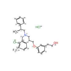 C[C@H](CN(CCCOc1cccc(CCO)c1)Cc1cccc(C(F)(F)F)c1Cl)c1ccccc1.Cl